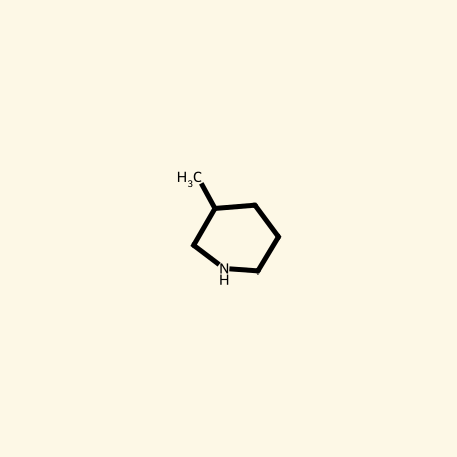 CC1CC[CH]NC1